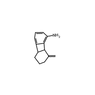 C=C1CCCC2c3cccc(N)c3C12